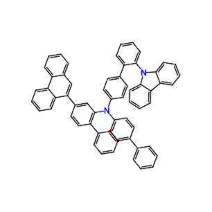 c1ccc(-c2ccc(N(c3ccc(-c4ccccc4-n4c5ccccc5c5ccccc54)cc3)c3cc(-c4cc5ccccc5c5ccccc45)ccc3-c3ccccc3)cc2)cc1